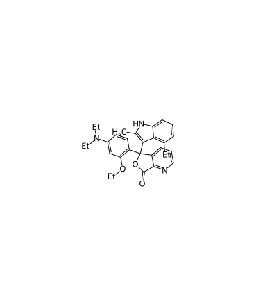 CCOc1cc(N(CC)CC)ccc1C1(c2c(C)[nH]c3cccc(CC)c23)OC(=O)c2ncccc21